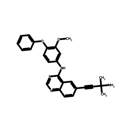 COc1cc(Nc2ncnc3ccc(C#CC(C)(C)N)cc23)ccc1Oc1ccccc1